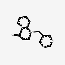 O=c1cc[n+](Cc2cncnc2)c2ccccn12